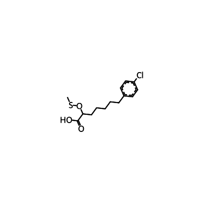 CSOC(CCCCCc1ccc(Cl)cc1)C(=O)O